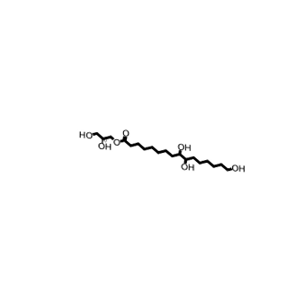 O=C(CCCCCCCC(O)C(O)CCCCCCO)OC[C@H](O)CO